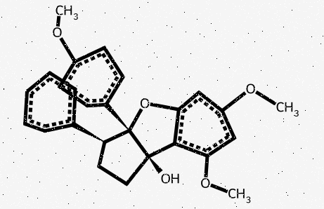 COc1ccc([C@@]23Oc4cc(OC)cc(OC)c4[C@]2(O)CC[C@H]3c2ccccc2)cc1